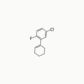 Fc1ccc(Cl)cc1C1=CCCCC1